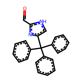 O=Cc1nc(C(c2ccccc2)(c2ccccc2)c2ccccc2)c[nH]1